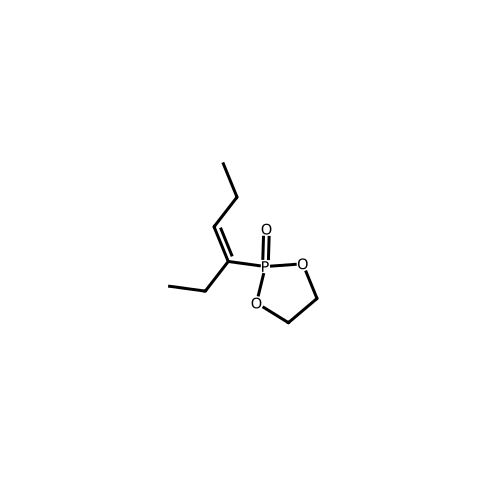 CC/C=C(/CC)P1(=O)OCCO1